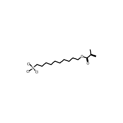 C=C(C)C(=O)OCCCCCCCCCC[Si](Cl)(Cl)Cl